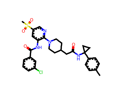 Cc1ccc(C2(NC(=O)CC3CCN(c4ncc(S(C)(=O)=O)cc4NC(=O)c4cccc(Cl)c4)CC3)CC2)cc1